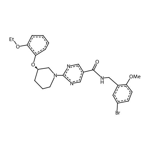 CCOc1ccccc1O[C@@H]1CCCN(c2ncc(C(=O)NCc3cc(Br)ccc3OC)cn2)C1